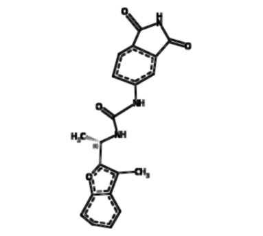 Cc1c([C@H](C)NC(=O)Nc2ccc3c(c2)C(=O)NC3=O)oc2ccccc12